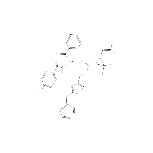 CC(C)(C)N(NC(=O)c1ccc(Cl)cc1)C(=O)c1ccccc1.CC(C)=C[C@@H]1[C@@H](C(=O)OCc2coc(Cc3ccccc3)c2)C1(C)C